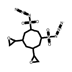 [N-]=[N+]=NS(=O)(=O)C1CC(C2CO2)CC(C2CO2)CC(S(=O)(=O)N=[N+]=[N-])C1